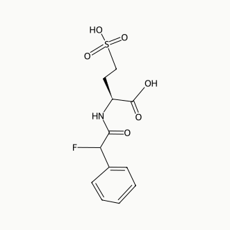 O=C(N[C@@H](CCS(=O)(=O)O)C(=O)O)C(F)c1ccccc1